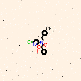 O=C(C(O)c1ccccc1)N(CCc1ccc(C(F)(F)F)cc1)c1ccc(Cl)nc1